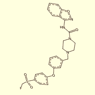 O=C(Nc1noc2ccccc12)N1CCN(Cc2cccc(Oc3ccc(S(=O)(=O)CF)cc3)c2)CC1